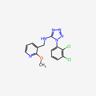 COc1ncccc1CNc1nnnn1-c1cccc(Cl)c1Cl